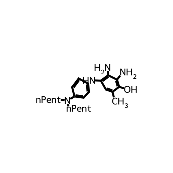 CCCCCN(CCCCC)c1ccc(Nc2cc(C)c(O)c(N)c2N)cc1